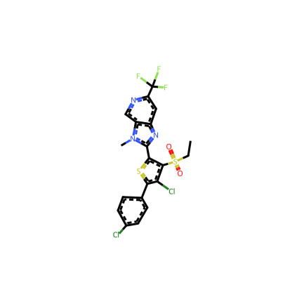 CCS(=O)(=O)c1c(-c2nc3cc(C(F)(F)F)ncc3n2C)sc(-c2ccc(Cl)cc2)c1Cl